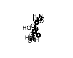 CC(N)C(=O)Nc1ccc(C(=O)N2CCc3c2ccc(S(=O)(=O)[C@H]2CNC(=O)N2)c3-c2ccccc2)cc1.Cl